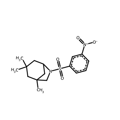 CC1(C)CC2CC(C)(CN2S(=O)(=O)c2cccc([N+](=O)[O-])c2)C1